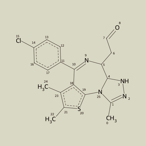 CC1=NNC2C(CC=O)N=C(c3ccc(Cl)cc3)c3c(sc(C)c3C)N12